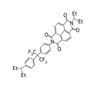 CCC(CC)c1ccc(C(c2ccc(N3C(=O)c4ccc5c6c(ccc(c46)C3=O)C(=O)N(C(CC)CC)C5=O)cc2)(C(F)(F)F)C(F)(F)F)cc1